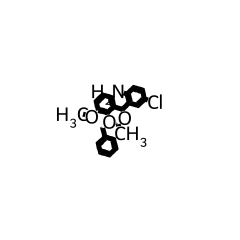 CCOC(c1cc(Cl)ccc1N)c1cccc(OC)c1OCc1ccccc1